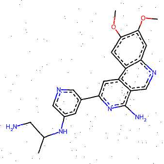 COc1cc2ncc3c(N)nc(-c4cncc(NC(C)CN)c4)cc3c2cc1OC